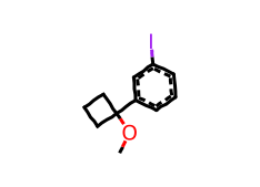 COC1(c2cccc(I)c2)CCC1